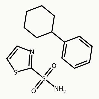 NS(=O)(=O)c1nccs1.c1ccc(C2CCCCC2)cc1